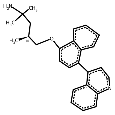 C[C@H](COc1ccc(-c2ccnc3ccccc23)c2ccccc12)CC(C)(C)N